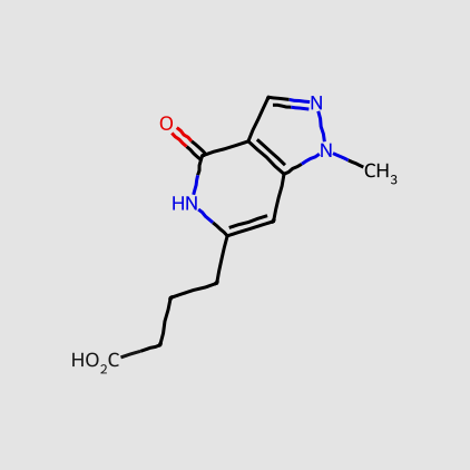 Cn1ncc2c(=O)[nH]c(CCCC(=O)O)cc21